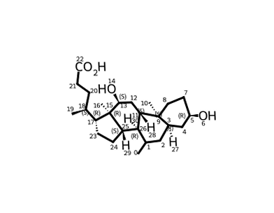 CC1C[C@@H]2C[C@H](O)CC[C@]2(C)[C@H]2C[C@H](O)[C@]3(C)[C@@H]([C@@H](C)CCC(=O)O)CC[C@H]3[C@H]12